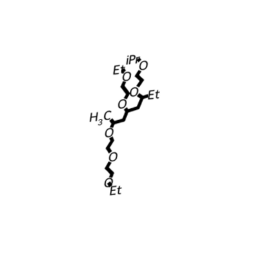 CCOCCOCCOC(C)CC(CC(CC)OCCOC(C)C)OCCOCC